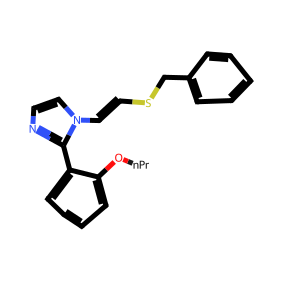 CCCOc1ccccc1-c1nccn1C=CSCc1ccccc1